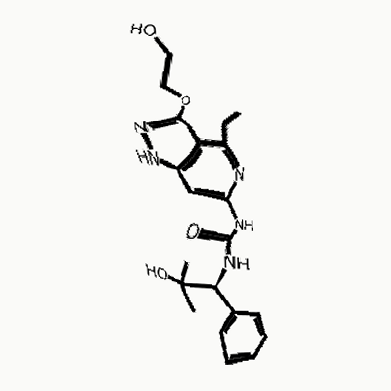 Cc1nc(NC(=O)N[C@@H](c2ccccc2)C(C)(C)O)cc2[nH]nc(OCCO)c12